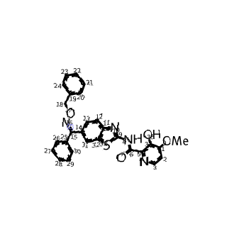 COc1ccnc(C(=O)Nc2nc3ccc(/C(=N\OCc4ccccc4)c4ccccc4)cc3s2)c1O